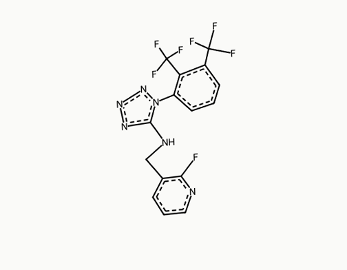 Fc1ncccc1CNc1nnnn1-c1cccc(C(F)(F)F)c1C(F)(F)F